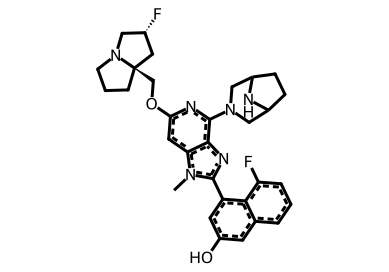 Cn1c(-c2cc(O)cc3cccc(F)c23)nc2c(N3CC4CCC(C3)N4)nc(OC[C@@]34CCCN3C[C@H](F)C4)cc21